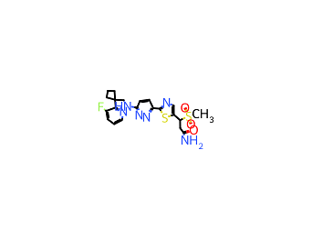 CS(=O)(=O)C(CC(N)=O)c1cnc(-c2ccc(NCC3(c4ncccc4F)CCC3)nn2)s1